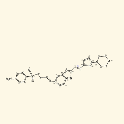 Cc1ccc(S(=O)(=O)OCCOc2ccc3nc(/C=C/c4cnc(N5CCOCC5)s4)oc3c2)cc1